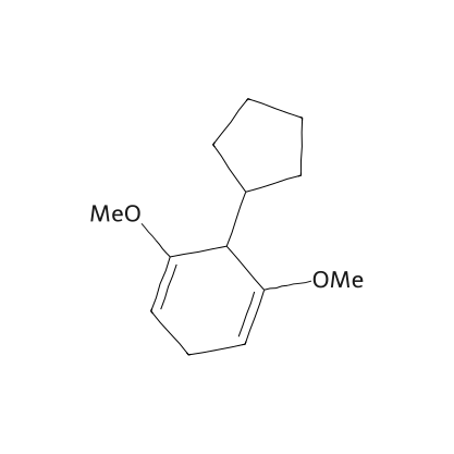 COC1=CCC=C(OC)C1C1CCCC1